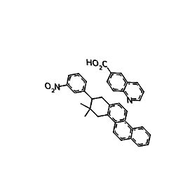 CC1(C)Cc2c(ccc3c2ccc2ccccc23)CC1c1cccc([N+](=O)[O-])c1.O=C(O)c1ccc2ncccc2c1